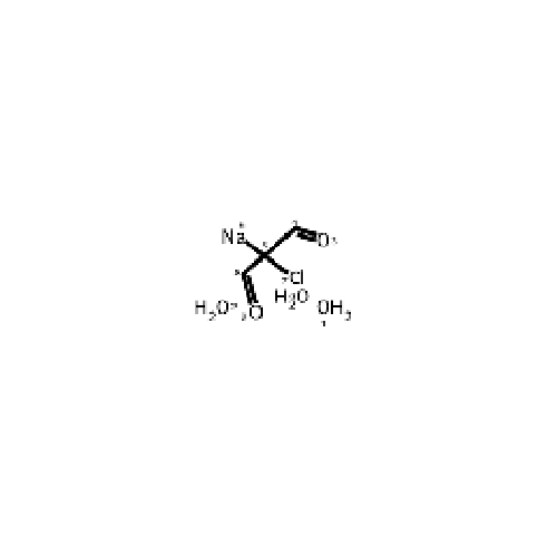 O.O.O.O=C[C]([Na])(Cl)C=O